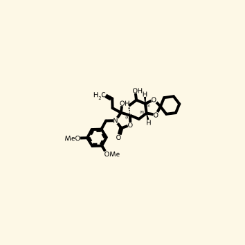 C=CCC1(O)N(Cc2cc(OC)cc(OC)c2)C(=O)O[C@@]12CC(O)[C@@H]1OC3(CCCCC3)O[C@@H]1C2